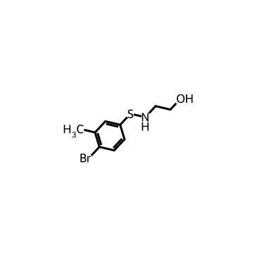 Cc1cc(SNCCO)ccc1Br